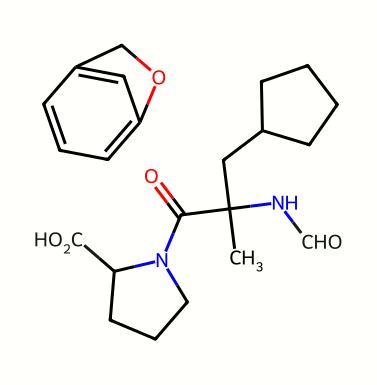 CC(CC1CCCC1)(NC=O)C(=O)N1CCCC1C(=O)O.c1cc2cc(c1)OC2